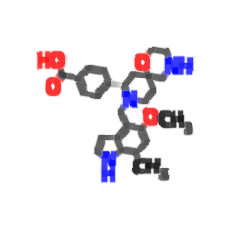 COc1cc(C)c2[nH]ccc2c1CN1CCC2(CNCCO2)C[C@H]1c1ccc(C(=O)O)cc1